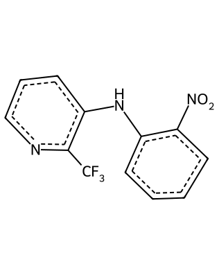 O=[N+]([O-])c1ccccc1Nc1cccnc1C(F)(F)F